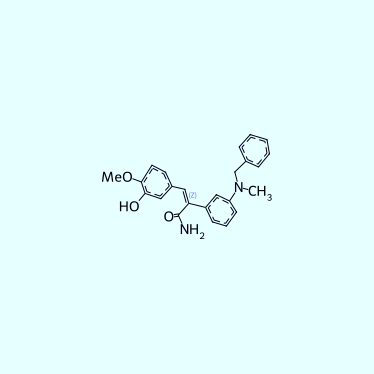 COc1ccc(/C=C(\C(N)=O)c2cccc(N(C)Cc3ccccc3)c2)cc1O